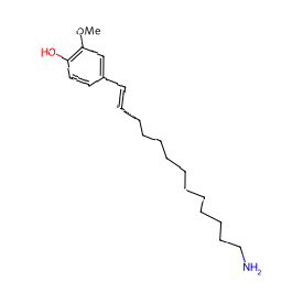 COc1cc(C=CCCCCCCCCCCCN)ccc1O